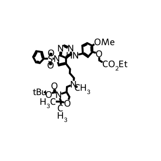 CCOC(=O)COc1cc(Nc2ncnc3c2c(CCCN(C)CC2COC(C)(C)N2C(=O)OC(C)(C)C)cn3S(=O)(=O)c2ccccc2)ccc1OC